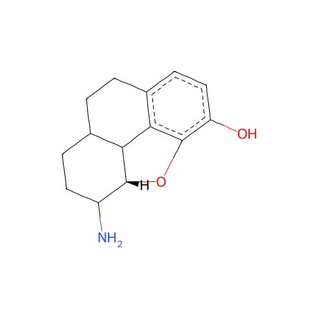 NC1CCC2CCc3ccc(O)c4c3C2[C@@H]1O4